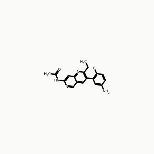 CCc1nc2cc(NC(C)=O)ncc2cc1-c1cc(N)ccc1F